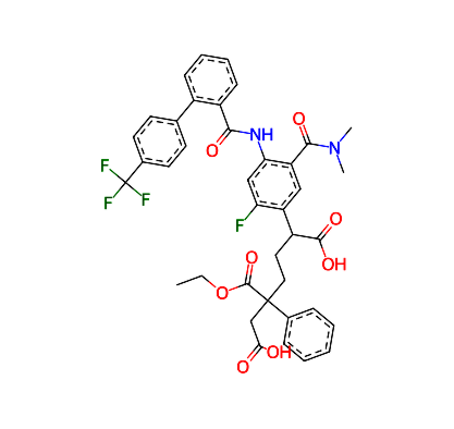 CCOC(=O)C(CCC(C(=O)O)c1cc(C(=O)N(C)C)c(NC(=O)c2ccccc2-c2ccc(C(F)(F)F)cc2)cc1F)(CC(=O)O)c1ccccc1